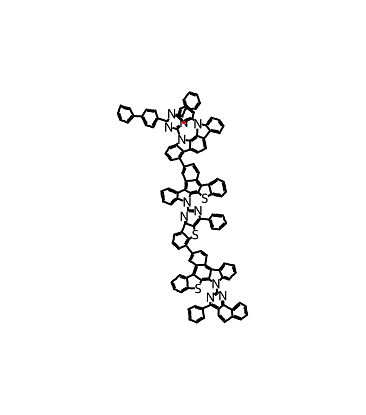 c1ccc(-c2ccc(-c3nc(-c4ccccc4)nc(-n4c5cccc(-c6ccc7c(c6)c6c8ccccc8n(-c8nc(-c9ccccc9)c9sc%10c(-c%11ccc%12c(c%11)c%11c%13ccccc%13sc%11c%11c%12c%12ccccc%12n%11-c%11nc(-c%12ccccc%12)c%12ccc%13ccccc%13c%12n%11)cccc%10c9n8)c6c6sc8ccccc8c76)c5c5ccc6c7ccccc7n(-c7ccccc7)c6c54)n3)cc2)cc1